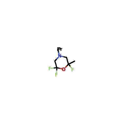 CC(C)N1CC(C)(F)OC(F)(F)C1